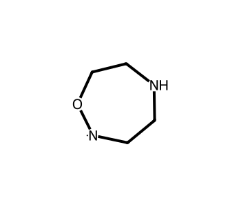 C1CNCCO[N]1